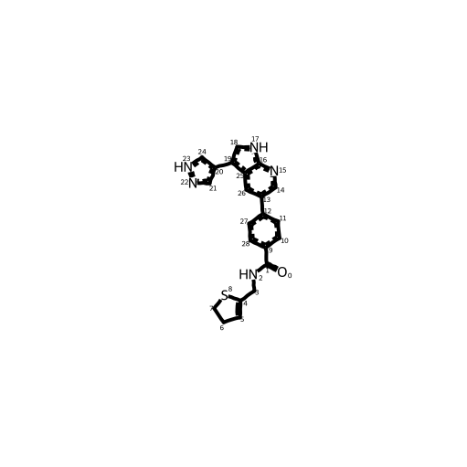 O=C(NCC1=CCCS1)c1ccc(-c2cnc3[nH]cc(-c4cn[nH]c4)c3c2)cc1